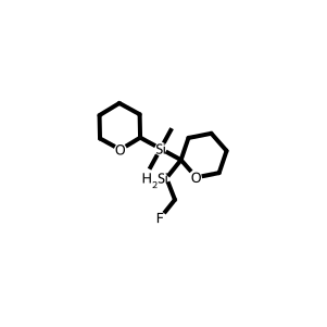 C[Si](C)(C1CCCCO1)C1([SiH2]CF)CCCCO1